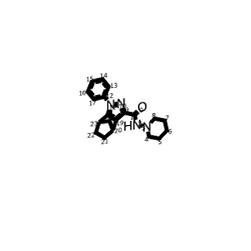 O=C(NN1CCCCC1)c1nn(-c2ccccc2)c2c1C1CCC2C1